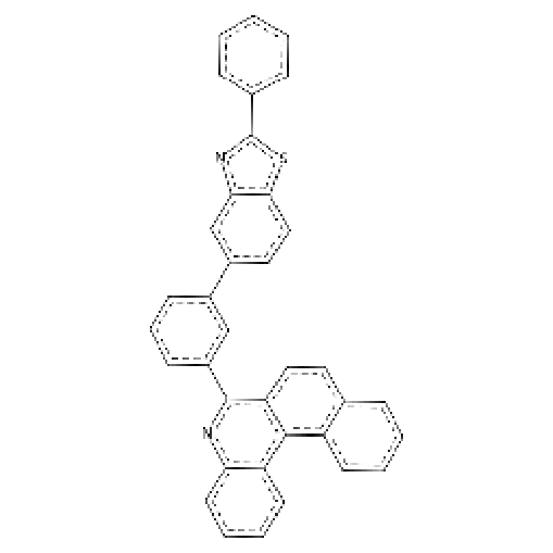 c1ccc(-c2nc3cc(-c4cccc(-c5nc6ccccc6c6c5ccc5ccccc56)c4)ccc3s2)cc1